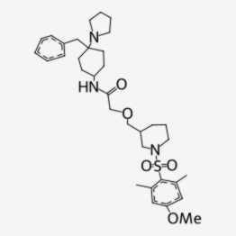 COc1cc(C)c(S(=O)(=O)N2CCCC(COCC(=O)NC3CCC(Cc4ccccc4)(N4CCCC4)CC3)C2)c(C)c1